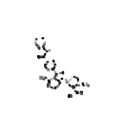 CC(C)C(=O)N1C[C@H](c2nc(-c3ccc(C(=O)Nc4ccccn4)cc3)c3c(N)nccn23)CC[C@@H]1C